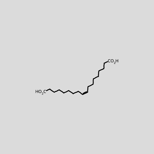 O=C(O)CCCCCCC/C=C\CCCCCCCC(=O)O